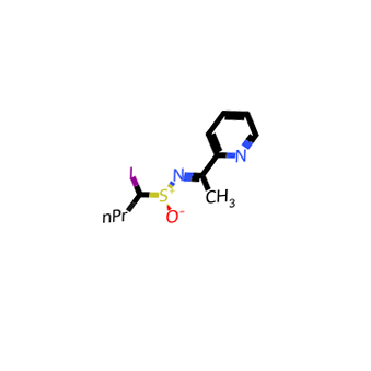 CCCC(I)[S@@+]([O-])/N=C(\C)c1ccccn1